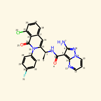 C[C@H](NC(=O)c1c(N)nn2cccnc12)c1cc2cccc(Cl)c2c(=O)n1-c1ccc(F)cc1